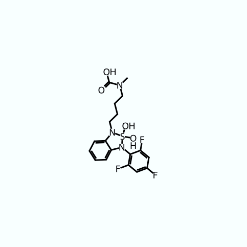 CN(CCCCN1c2ccccc2N(c2c(F)cc(F)cc2F)S1(O)O)C(=O)O